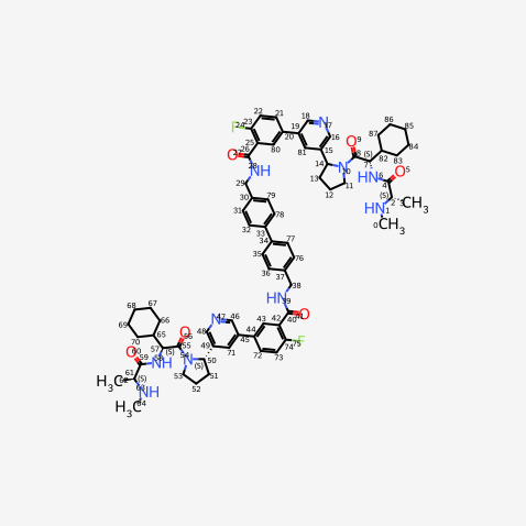 CN[C@@H](C)C(=O)N[C@H](C(=O)N1CCCC1c1cncc(-c2ccc(F)c(C(=O)NCc3ccc(-c4ccc(CNC(=O)c5cc(-c6cncc([C@@H]7CCCN7C(=O)[C@@H](NC(=O)[C@H](C)NC)C7CCCCC7)c6)ccc5F)cc4)cc3)c2)c1)C1CCCCC1